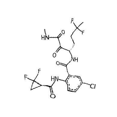 CNC(=O)C(=O)[C@H](CCC(C)(F)F)NC(=O)c1cc(Cl)ccc1NC(=O)[C@H]1CC1(F)F